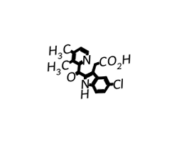 Cc1ccnc(C(=O)c2[nH]c3ccc(Cl)cc3c2CC(=O)O)c1C